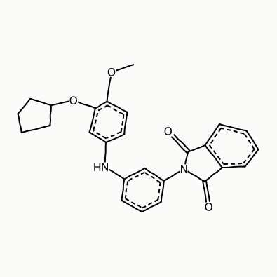 COc1ccc(Nc2cccc(N3C(=O)c4ccccc4C3=O)c2)cc1OC1CCCC1